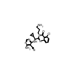 N#Cc1c(N)ncnc1NC(c1nc2cccc(Cl)c2c(=O)n1CCCN)C1CC1